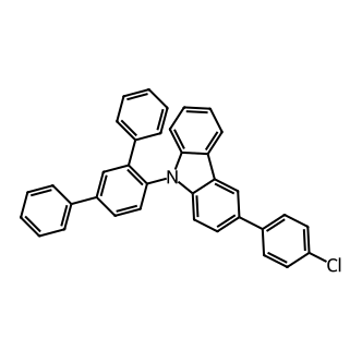 Clc1ccc(-c2ccc3c(c2)c2ccccc2n3-c2ccc(-c3ccccc3)cc2-c2ccccc2)cc1